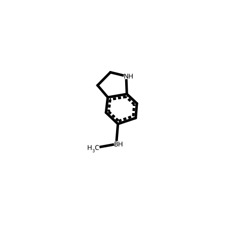 CBc1ccc2c(c1)CCN2